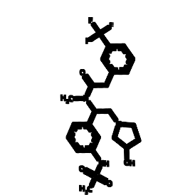 CN(C(=O)Cc1cccc(C(F)(F)F)c1)C(CN1CCC(O)C1)c1cccc(NS(C)(=O)=O)c1